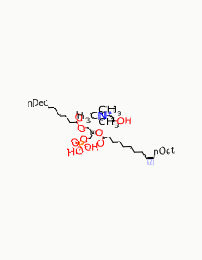 CCCCCCCC/C=C\CCCCCCCC(=O)O[C@H](COC(=O)CCCCCCCCCCCCCCC)COP(=O)(O)O.C[N+](C)(C)CCO